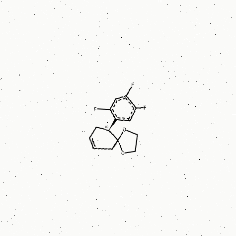 Fc1cc(F)c([C@@H]2CC=CCC23OCCO3)cc1F